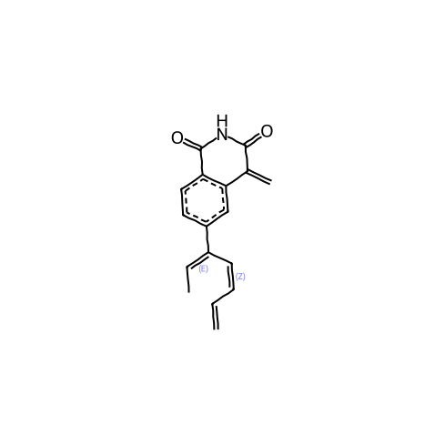 C=C/C=C\C(=C/C)c1ccc2c(c1)C(=C)C(=O)NC2=O